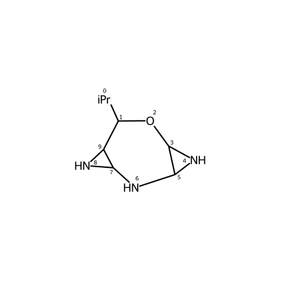 CC(C)C1OC2NC2NC2NC21